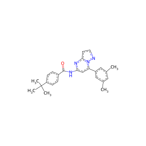 Cc1cc(C)cc(-c2cc(NC(=O)c3ccc(C(C)(C)C)cc3)nc3ccnn23)c1